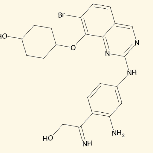 N=C(CO)c1ccc(Nc2ncc3ccc(Br)c(OC4CCC(O)CC4)c3n2)cc1N